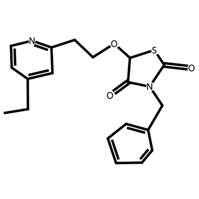 CCc1ccnc(CCOC2SC(=O)N(Cc3ccccc3)C2=O)c1